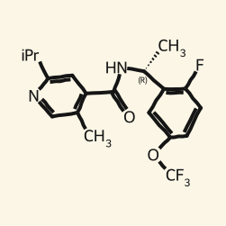 Cc1cnc(C(C)C)cc1C(=O)N[C@H](C)c1cc(OC(F)(F)F)ccc1F